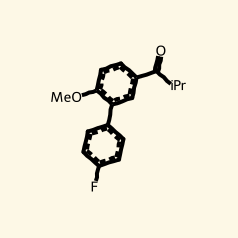 COc1ccc(C(=O)C(C)C)cc1-c1ccc(F)cc1